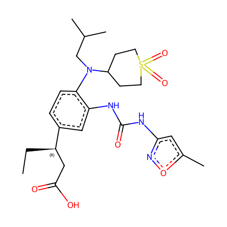 CC[C@H](CC(=O)O)c1ccc(N(CC(C)C)C2CCS(=O)(=O)CC2)c(NC(=O)Nc2cc(C)on2)c1